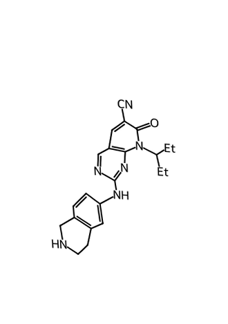 CCC(CC)n1c(=O)c(C#N)cc2cnc(Nc3ccc4c(c3)CCNC4)nc21